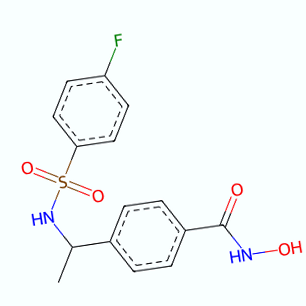 CC(NS(=O)(=O)c1ccc(F)cc1)c1ccc(C(=O)NO)cc1